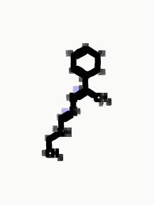 CCN/C=N/N=C(\C)C1=CC=CCC1